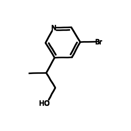 CC(CO)c1cncc(Br)c1